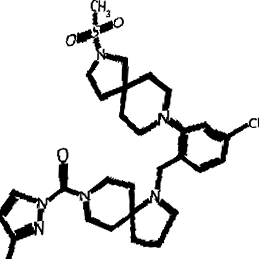 CC(=O)Nc1ccn(C(=O)N2CCC3(CCCN3Cc3ccc(Cl)cc3N3CCC4(CC3)CCN(S(C)(=O)=O)C4)CC2)n1